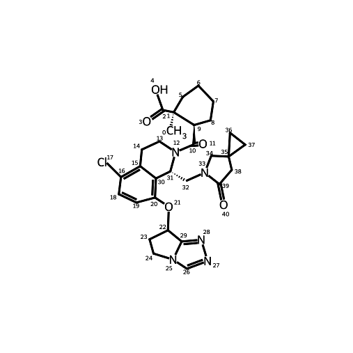 C[C@]1(C(=O)O)CCCC[C@H]1C(=O)N1CCc2c(Cl)ccc(OC3CCn4cnnc43)c2[C@H]1CN1CC2(CC2)CC1=O